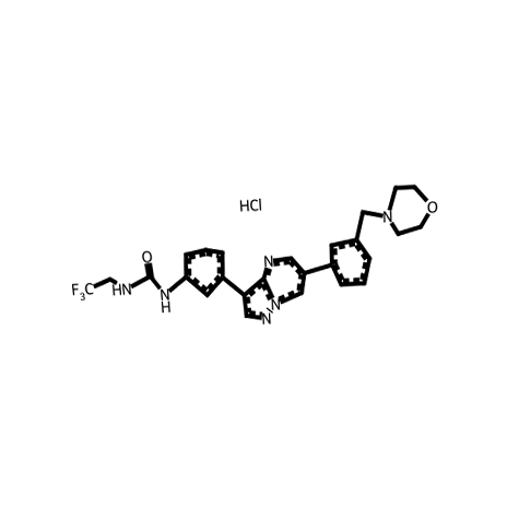 Cl.O=C(NCC(F)(F)F)Nc1cccc(-c2cnn3cc(-c4cccc(CN5CCOCC5)c4)cnc23)c1